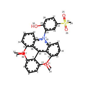 COc1cccc(OC)c1-c1c2c(OC)cccc2[n+](-c2cc(S(C)(=O)=O)ccc2O)c2cccc(OC)c12